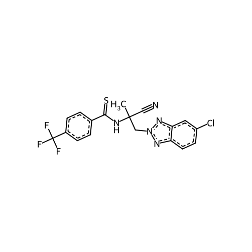 CC(C#N)(Cn1nc2ccc(Cl)cc2n1)NC(=S)c1ccc(C(F)(F)F)cc1